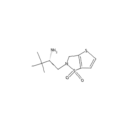 CC(C)(C)[C@H](N)CN1Cc2sccc2S1(=O)=O